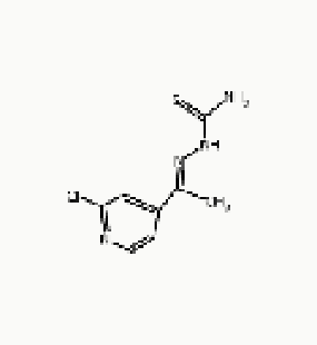 CC(=NNC(N)=S)c1ccnc(Cl)c1